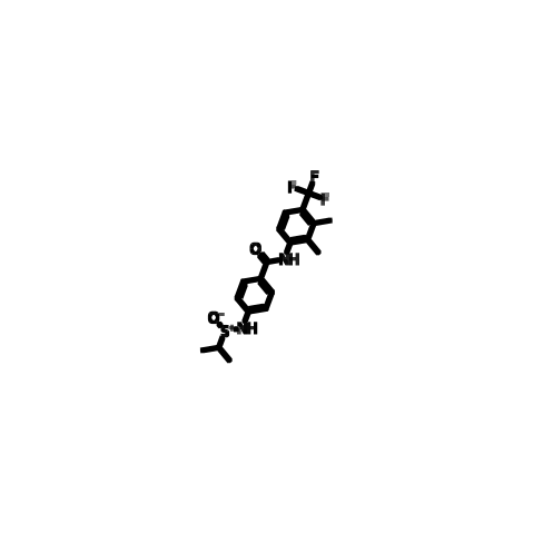 Cc1c(NC(=O)c2ccc(N[S+]([O-])C(C)C)cc2)ccc(C(F)(F)F)c1C